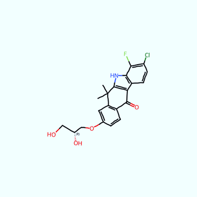 CC1(C)c2cc(OC[C@H](O)CO)ccc2C(=O)c2c1[nH]c1c(F)c(Cl)ccc21